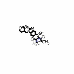 C=C/C(Cl)=C(\C(Cl)=C/C)[S+]([O-])c1ccc2c(c1)nc(C(C)(C)C)n2CC1CCOCC1